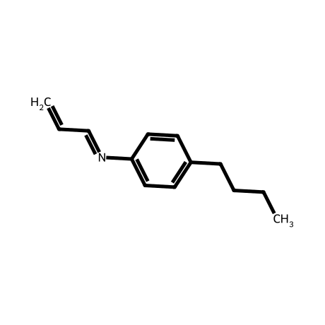 C=CC=Nc1ccc(CCCC)cc1